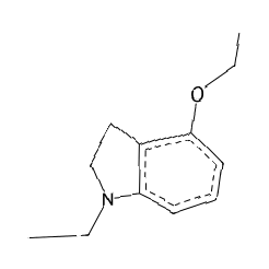 CCOc1cccc2c1CCN2CC